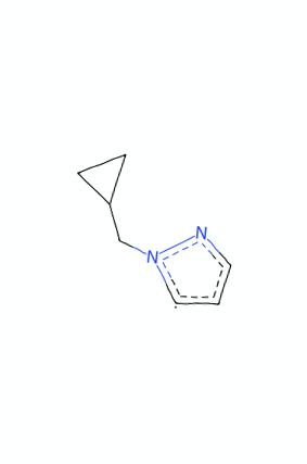 [c]1ccnn1CC1CC1